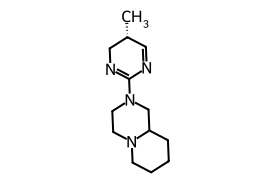 C[C@@H]1C=NC(N2CCN3CCCCC3C2)=NC1